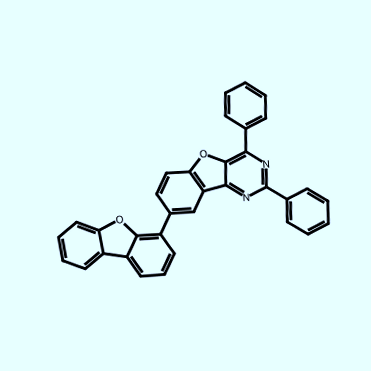 c1ccc(-c2nc(-c3ccccc3)c3oc4ccc(-c5cccc6c5oc5ccccc56)cc4c3n2)cc1